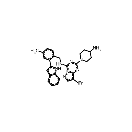 Cc1ccc(CNc2nc(N3CCC(N)CC3)nc3c(C(C)C)cnn23)c(-c2cc3ccccc3[nH]2)c1